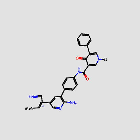 CCn1cc(C(=O)Nc2ccc(-c3cc(/C(C=N)=C/NC)cnc3N)cc2)c(=O)c(-c2ccccc2)c1